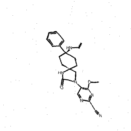 CCN[C@]1(c2ccccc2)CC[C@@]2(CC1)CN(c1cnc(C#N)nc1OC)C(=O)N2